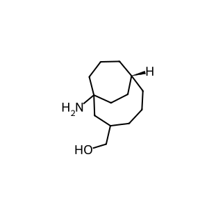 NC12CCC[C@H](CCCC(CO)C1)CC2